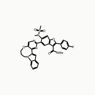 CNC(=O)c1c(-c2ccc(F)cc2)oc2cc(N(C)S(C)(=O)=O)c(-c3ncc4c(n3)-c3cc5ccccc5n3CCCO4)cc12